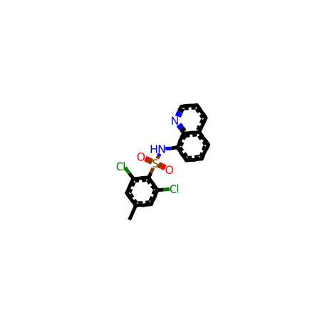 Cc1cc(Cl)c(S(=O)(=O)Nc2cccc3cccnc23)c(Cl)c1